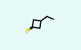 [CH2]CC1CC(=S)C1